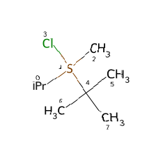 CC(C)S(C)(Cl)C(C)(C)C